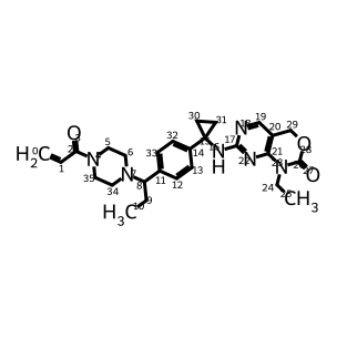 C=CC(=O)N1CCN(C(CC)c2ccc(C3(Nc4ncc5c(n4)N(CC)C(=O)OC5)CC3)cc2)CC1